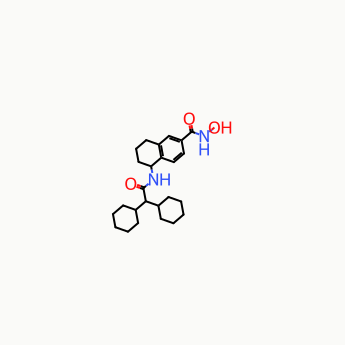 O=C(NO)c1ccc2c(c1)CCCC2NC(=O)C(C1CCCCC1)C1CCCCC1